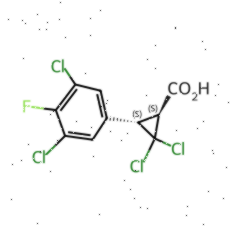 O=C(O)[C@@H]1[C@@H](c2cc(Cl)c(F)c(Cl)c2)C1(Cl)Cl